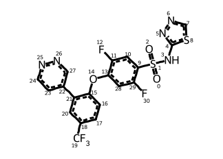 O=S(=O)(Nc1nncs1)c1cc(F)c(Oc2ccc(C(F)(F)F)cc2-c2ccnnc2)cc1F